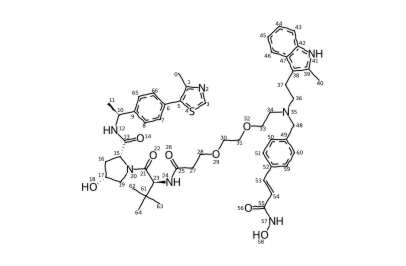 Cc1ncsc1-c1ccc([C@H](C)NC(=O)[C@H]2C[C@@H](O)CN2C(=O)[C@@H](NC(=O)CCOCCOCCN(CCc2c(C)[nH]c3ccccc23)Cc2ccc(/C=C/C(=O)NO)cc2)C(C)(C)C)cc1